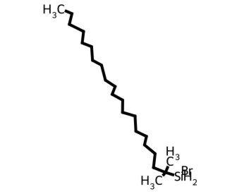 CCCCCCCCCCCCCCCCCCCC(C)(C)[SiH2]Br